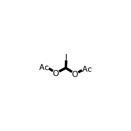 CC(=O)OC(I)OC(C)=O